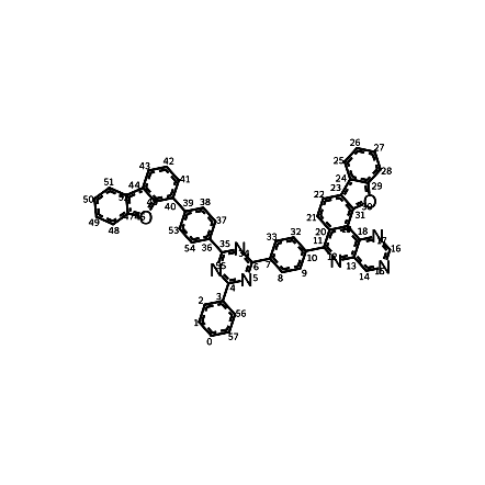 c1ccc(-c2nc(-c3ccc(-c4nc5cncnc5c5c4ccc4c6ccccc6oc45)cc3)nc(-c3ccc(-c4cccc5c4oc4ccccc45)cc3)n2)cc1